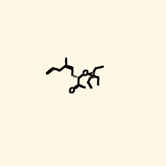 C=CC/C(C)=C\C[C@H](O[Si](CC)(CC)CC)C(C)=O